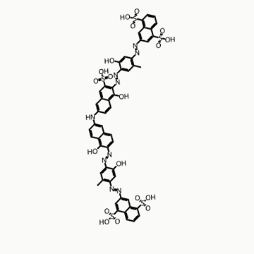 Cc1cc(N=Nc2ccc3cc(Nc4ccc5c(O)c(N=Nc6cc(C)c(N=Nc7cc(S(=O)(=O)O)c8cccc(S(=O)(=O)O)c8c7)cc6O)c(S(=O)(=O)O)cc5c4)ccc3c2O)c(O)cc1N=Nc1cc(S(=O)(=O)O)c2cccc(S(=O)(=O)O)c2c1